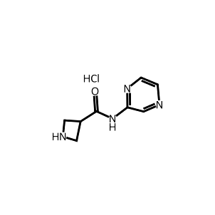 Cl.O=C(Nc1cnccn1)C1CNC1